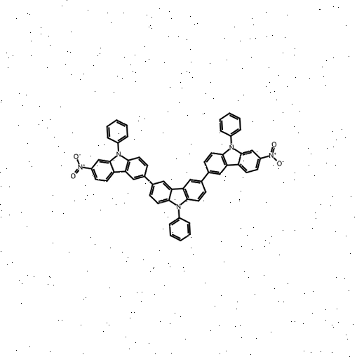 O=[N+]([O-])c1ccc2c3cc(-c4ccc5c(c4)c4cc(-c6ccc7c(c6)c6ccc([N+](=O)[O-])cc6n7-c6ccccc6)ccc4n5-c4ccccc4)ccc3n(-c3ccccc3)c2c1